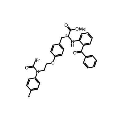 COC(=O)[C@H](Cc1ccc(OCCN(C(=O)C(C)C)c2ccc(F)cc2)cc1)Nc1ccccc1C(=O)c1ccccc1